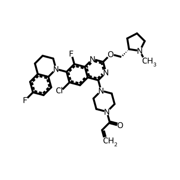 C=CC(=O)N1CCN(c2nc(OC[C@@H]3CCCN3C)nc3c(F)c(N4CCCc5cc(F)ccc54)c(Cl)cc23)CC1